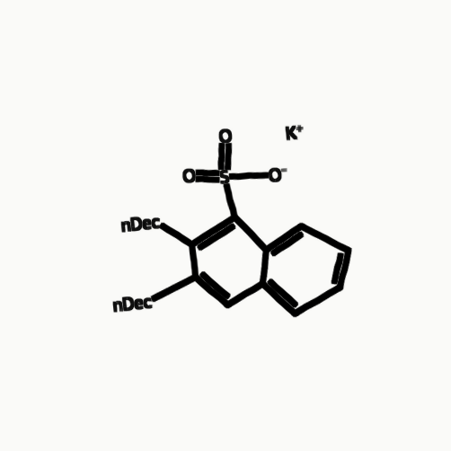 CCCCCCCCCCc1cc2ccccc2c(S(=O)(=O)[O-])c1CCCCCCCCCC.[K+]